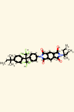 CCC(C)(C)c1ccc(C(c2ccc(-n3c(=O)c4cc5c(=O)n(C(C)(CC)CC)c(=O)c5cc4c3=O)cc2)(C(F)(F)F)C(F)(F)F)cc1